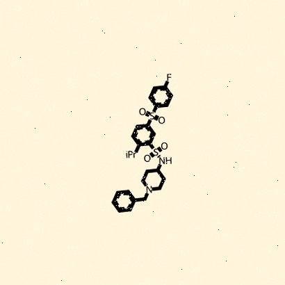 CC(C)c1ccc(S(=O)(=O)c2ccc(F)cc2)cc1S(=O)(=O)NC1CCN(Cc2ccccc2)CC1